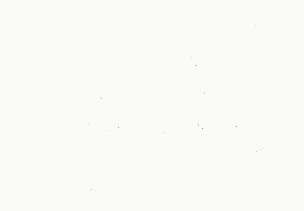 CC1(C)C2=C(C=CC=CC2)c2c(-c3nc(-c4cccc(-c5nc(-c6ccccc6)cc(-c6ccccc6)n5)c4)c(C4=CCCC=C4)nc3C3=CC=CCC3)cccc21